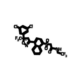 O=C(CS(=O)(=O)c1ccc(C2=NO[C@@](c3cc(Cl)cc(Cl)c3)(C(F)(F)F)C2)c2ccccc12)NCC(F)(F)F